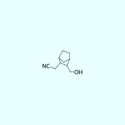 N#CCC1C2CCC(C2)C1CO